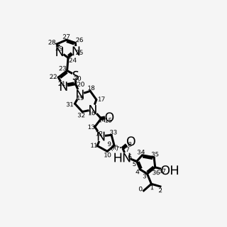 CC(C)c1cc(NC(=O)[C@@H]2CCN(CC(=O)N3CCN(c4ncc(-c5ncccn5)s4)CC3)C2)ccc1O